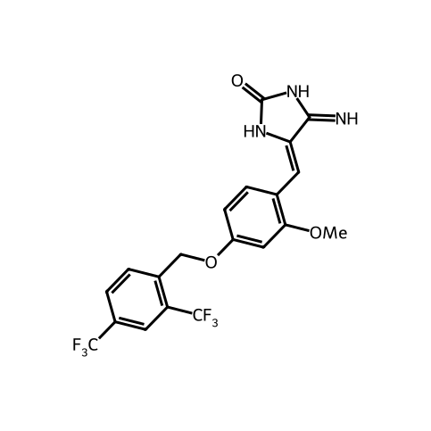 COc1cc(OCc2ccc(C(F)(F)F)cc2C(F)(F)F)ccc1/C=C1\NC(=O)NC1=N